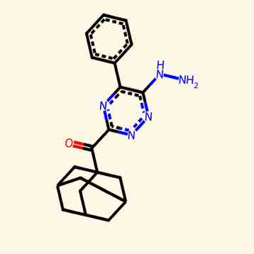 NNc1nnc(C(=O)C23CC4CC(CC(C4)C2)C3)nc1-c1ccccc1